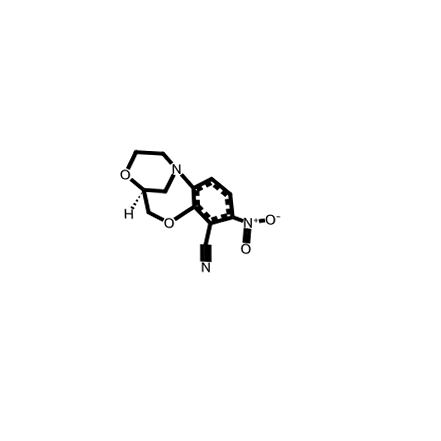 N#Cc1c([N+](=O)[O-])ccc2c1OC[C@@H]1CN2CCO1